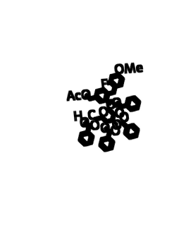 COc1ccc(Cc2ccc(COC(C)=O)cc2O[C@@H]2O[C@H]([C@H](C)OC(=O)c3ccccc3)[C@@H](OC(=O)c3ccccc3)[C@H](OC(=O)c3ccccc3)[C@H]2OC(=O)c2ccccc2)c(F)c1